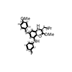 COC(=O)[C@H](CC(C)C)Nc1cc(Nc2cccc(F)c2)cc(Sc2ccc(OC)cc2)c1